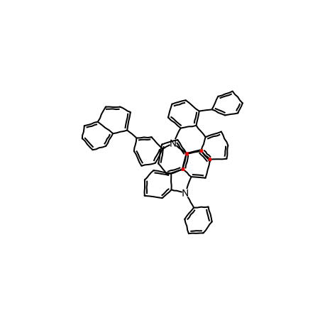 c1ccc(-c2ccccc2-c2c(-c3ccccc3)cccc2N(c2cccc(-c3cccc4ccccc34)c2)c2cccc3c2c2ccccc2n3-c2ccccc2)cc1